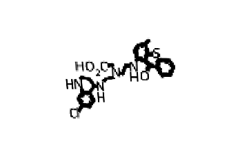 Cc1ccc(NCCN(CCNC2CCNc3cc(Cl)ccc32)CC(=O)O)c2c(=O)c3ccccc3sc12